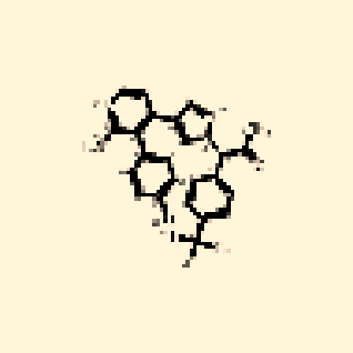 NC(=O)[C@@H](c1ccc(C(F)(F)F)cc1)n1cc(-c2ccnc(N)c2-c2ccc(Cl)cc2)cn1